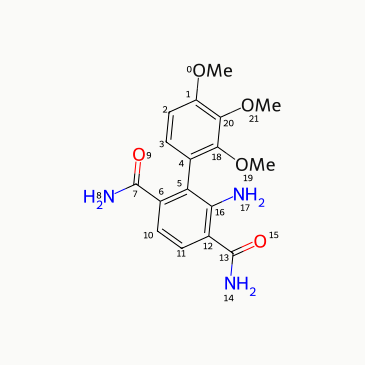 COc1ccc(-c2c(C(N)=O)ccc(C(N)=O)c2N)c(OC)c1OC